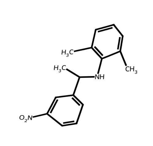 Cc1cccc(C)c1NC(C)c1cccc([N+](=O)[O-])c1